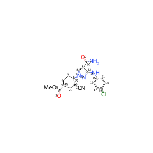 COC(=O)[C@@H]1CC[C@@H](n2cc(C(N)=O)c(Nc3ccc(Cl)cc3)n2)[C@H](C#N)C1